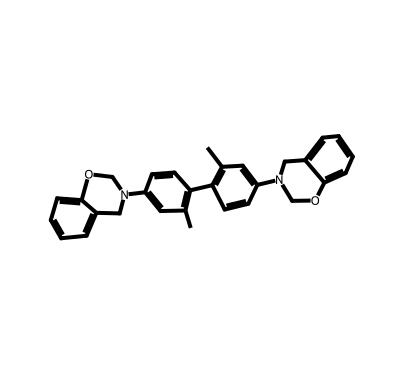 Cc1cc(N2COc3ccccc3C2)ccc1-c1ccc(N2COc3ccccc3C2)cc1C